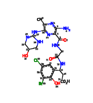 [C-]#[N+]c1nc(N)c(C(=O)NCC(=O)NC(CC(=O)O)c2cc(Cl)cc(Br)c2O)nc1NC1=NCC(O)CN1